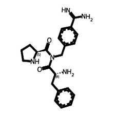 N=C(N)c1ccc(CN(C(=O)[C@H](N)Cc2ccccc2)C(=O)[C@@H]2CCCN2)cc1